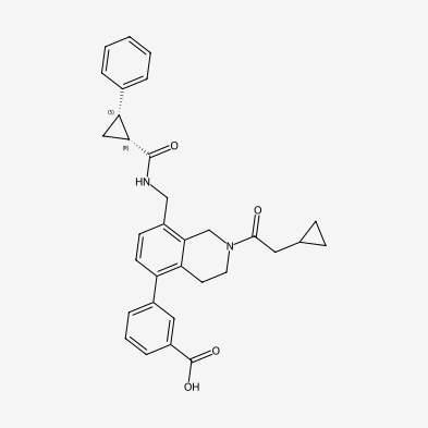 O=C(O)c1cccc(-c2ccc(CNC(=O)[C@@H]3C[C@@H]3c3ccccc3)c3c2CCN(C(=O)CC2CC2)C3)c1